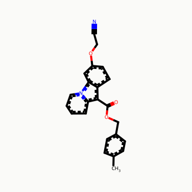 Cc1ccc(COC(=O)c2c3ccc(OCC#N)cc3n3ccccc23)cc1